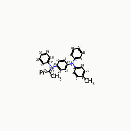 Cc1ccc(N(c2ccccc2)c2ccc(N(c3ccccc3)C(C)C(C)C)cc2)cc1